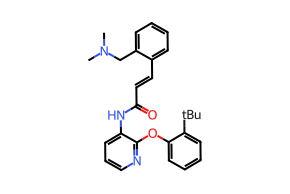 CN(C)Cc1ccccc1/C=C/C(=O)Nc1cccnc1Oc1ccccc1C(C)(C)C